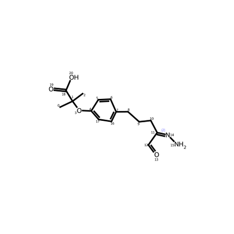 CC(C)(Oc1ccc(CCC/C(C=O)=N/N)cc1)C(=O)O